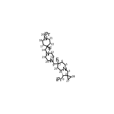 CC(C)CC1(CN2CCC(F)(CN3CCN(CC4(F)CCN(C(C)C)CC4)CC3)CC2)CC1